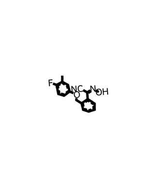 Cc1cc(OCc2ccccc2/C(C#N)=N\O)ccc1F